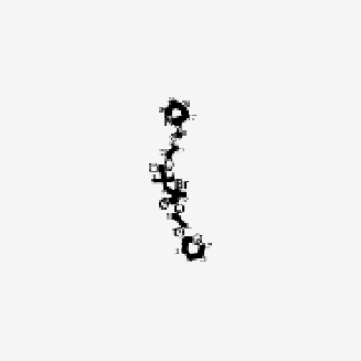 CC(C)(CC(C)(Br)C(=O)OCCOC1CCCCO1)C(=O)OCCSSc1ccccn1